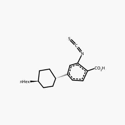 CCCCCC[C@H]1CC[C@H](c2ccc(C(=O)O)c(N=C=S)c2)CC1